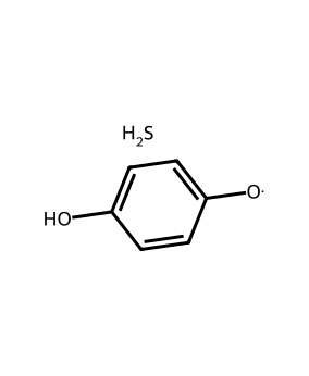 S.[O]c1ccc(O)cc1